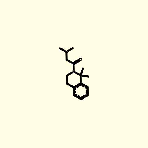 CN(C)CC(=O)N1CCc2c[c]ccc2C1(C)C